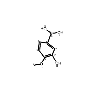 COc1ccc(B(O)O)cc1O